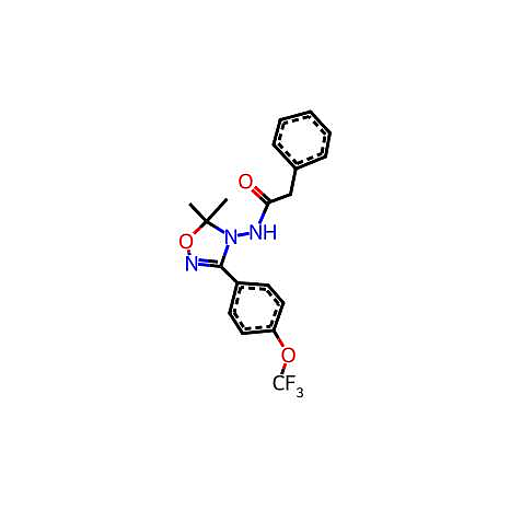 CC1(C)ON=C(c2ccc(OC(F)(F)F)cc2)N1NC(=O)Cc1ccccc1